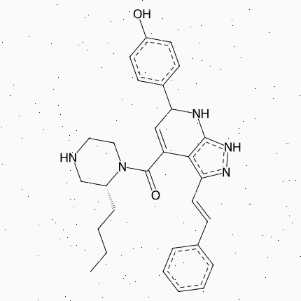 CCCC[C@@H]1CNCCN1C(=O)C1=CC(c2ccc(O)cc2)Nc2[nH]nc(/C=C/c3ccccc3)c21